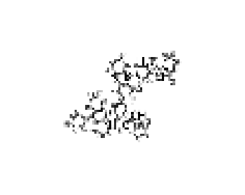 CC(C)(c1ccccc1)c1cc(-c2cc3c4c(c2)Sc2cc(C(C)(C)c5ccccc5)ccc2B4c2ccccc2S3)cc(-c2c3ccccc3c(-c3ccccc3)c3ccccc23)c1